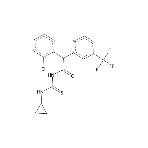 O=C(NC(=S)NC1CC1)C(c1cc(C(F)(F)F)ccn1)c1ccccc1Cl